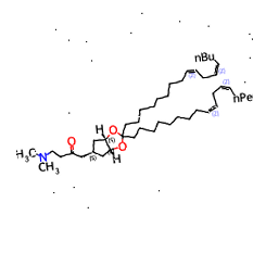 CCCC/C=C\C/C=C\CCCCCCCCC1(CCCCCCCC/C=C\C/C=C\CCCCC)O[C@H]2C[C@H](CC(=O)CCN(C)C)C[C@H]2O1